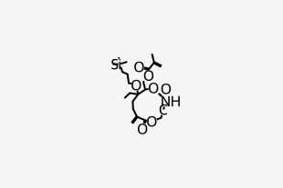 C=C(C)C(=O)OCC1OC(=O)NCCOC(=O)C(=C)CCC1(CC)OCCC[Si](C)(C)C